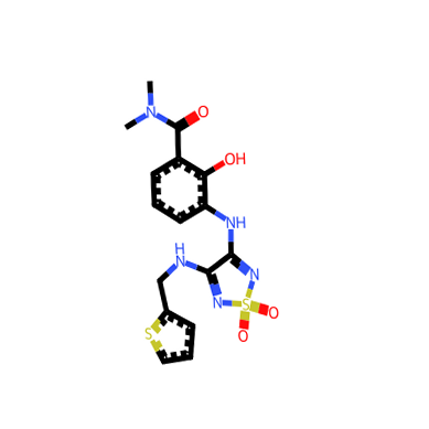 CN(C)C(=O)c1cccc(NC2=NS(=O)(=O)N=C2NCc2cccs2)c1O